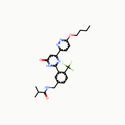 CCCCOc1ccc(-c2cc(=O)[nH]c(-c3cc(CNC(=O)C(C)C)ccc3C(F)(F)F)n2)nn1